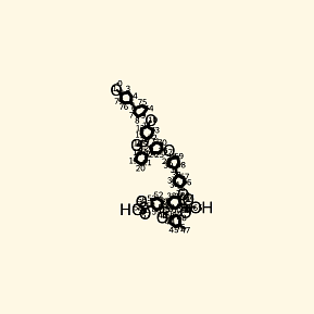 COc1ccc(-c2ccc(Oc3ccc(P(=O)(c4ccccc4)c4ccc(Oc5ccc(-c6ccc(Oc7ccc(P(=O)(c8ccc(C)cc8)c8cccc(S(=O)(=O)O)c8)cc7S(=O)(=O)O)cc6)cc5)cc4)cc3)cc2)cc1